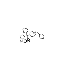 N#CC(c1ccccc1)(C1CCN(Cc2ccccc2)CC1)C1CCCC1O